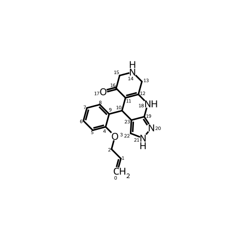 C=CCOc1ccccc1C1C2=C(CNCC2=O)Nc2n[nH]cc21